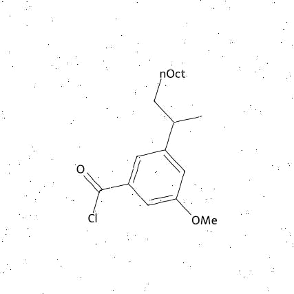 CCCCCCCCCC(C)c1cc(OC)cc(C(=O)Cl)c1